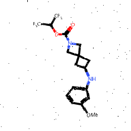 COc1cccc(NC2CC3(C2)CN(C(=O)OC(C(F)(F)F)C(F)(F)F)C3)c1